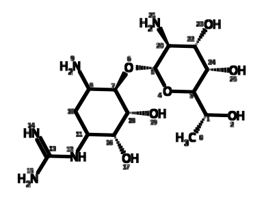 C[C@@H](O)C1O[C@H](O[C@@H]2C(N)CC(NC(=N)N)[C@@H](O)[C@H]2O)[C@@H](N)[C@H](O)[C@@H]1O